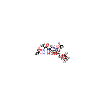 CC(C)[C@@H](NC(=O)OC(C)(C)C)C(=O)N[C@H]1CCN(C(=O)OC(C)(C)C)[C@@](CCCCB2OC(C)(C)C(C)(C)O2)(C(=O)O)C1